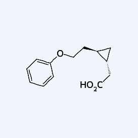 O=C(O)C[C@H]1C[C@@H]1CCOc1ccccc1